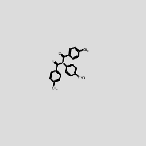 Cc1ccc(C(=O)N(C(=O)c2ccc(C)cc2)c2ccc(C=O)cc2)cc1